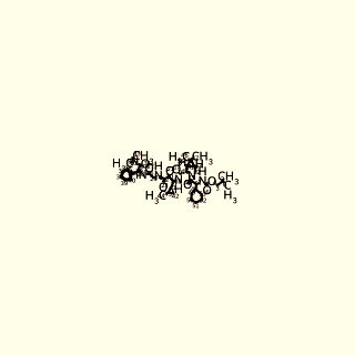 CC(C)COC(=O)N[C@H](C(=O)N1C[C@H]2[C@@H]([C@H]1C(=O)N[C@H](C(=O)C(=O)NCC(=O)NC(C(=O)N(C)C)c1ccccc1)[C@H]1C[C@@H]1C)C2(C)C)C1CCCCC1